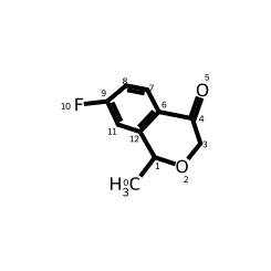 CC1OCC(=O)c2ccc(F)cc21